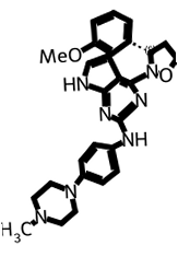 COc1cccc([C@@H]2CCON2c2nc(Nc3ccc(N4CCN(C)CC4)cc3)nc3[nH]ccc23)c1